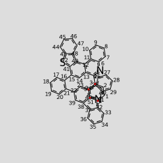 c1ccc(-c2nc3ccccc3c3c2cc(-c2ccccc2-c2cc4c5ccccc5n5c6ccccc6c(c2)c45)c2sc4ccccc4c23)cc1